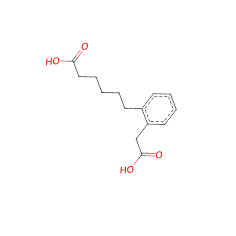 O=C(O)CCCCCc1ccccc1CC(=O)O